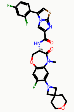 CN1C(=O)[C@@H](NC(=O)c2cn3c(-c4ccc(F)cc4F)csc3n2)COc2cc(F)c(N3CC4(CCOCC4)C3)cc21